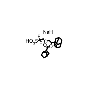 O=C(OC(COCC(F)(F)S(=O)(=O)O)C12CC3CC(CC(C3)C1)C2)C1CC2CCC1C2.[NaH]